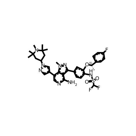 C[C@H](Oc1cc(-c2nn(C)c3c(-c4cnn(C5CC(C)(C)N(C)C(C)(C)C5)c4)cnc(N)c23)ccc1NS(=O)(=O)C(F)F)c1ccc(F)cc1